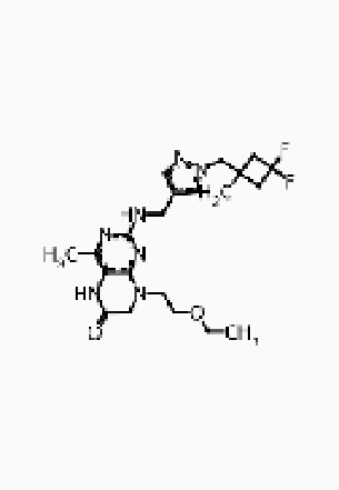 CCOCCN1CC(=O)Nc2c(C)nc(NCc3cnn(CC4(C)CC(F)(F)C4)c3)nc21